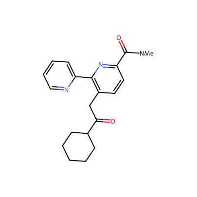 CNC(=O)c1ccc(CC(=O)C2CCCCC2)c(-c2ccccn2)n1